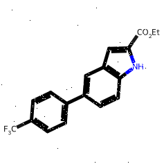 CCOC(=O)c1cc2cc(-c3ccc(C(F)(F)F)cc3)ccc2[nH]1